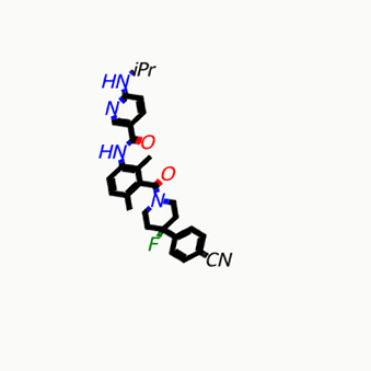 Cc1ccc(NC(=O)c2ccc(NC(C)C)nc2)c(C)c1C(=O)N1CCC(F)(c2ccc(C#N)cc2)CC1